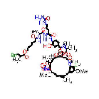 C=C(CBr)C(=O)OCCCCCC(=O)N[C@H](C(=O)N[C@@H](CCCNC(N)=O)C(=O)Nc1ccc(C(=O)N(C)[C@@H](C)C(=O)O[C@H]2CC(=O)N(C)c3cc(cc(OC)c3Cl)C/C(C)=C/C=C/[C@@H](OC)[C@@]3(O)C[C@H](OC(=O)N3)[C@@H](C)[C@@H]3O[C@@]23C)cc1O)C(C)C